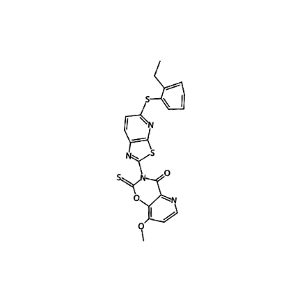 CCc1ccccc1Sc1ccc2nc(-n3c(=S)oc4c(OC)ccnc4c3=O)sc2n1